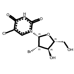 O=c1[nH]c(=O)n([C@@H]2O[C@H](CO)[C@@H](O)[C@@H]2Br)cc1Cl